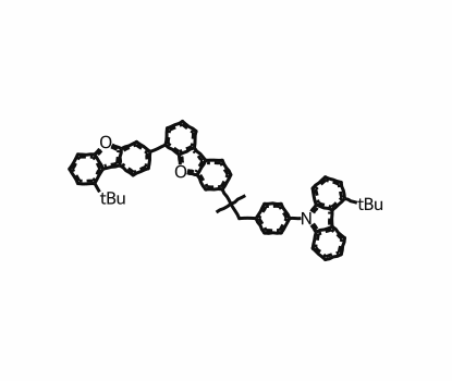 CC(C)(C)c1cccc2oc3cc(-c4cccc5c4oc4cc(C(C)(C)Cc6ccc(-n7c8ccccc8c8c(C(C)(C)C)cccc87)cc6)ccc45)ccc3c12